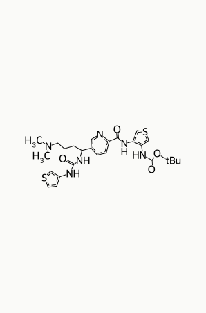 CN(C)CCCC(NC(=O)Nc1ccsc1)c1ccc(C(=O)Nc2cscc2NC(=O)OC(C)(C)C)nc1